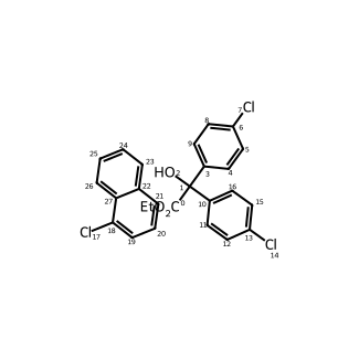 CCOC(=O)C(O)(c1ccc(Cl)cc1)c1ccc(Cl)cc1.Clc1cccc2ccccc12